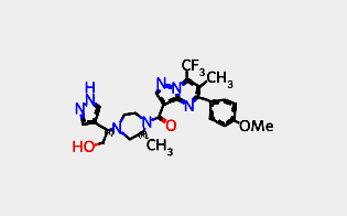 COc1ccc(-c2nc3c(C(=O)N4CCN([C@@H](CO)c5cn[nH]c5)C[C@H]4C)cnn3c(C(F)(F)F)c2C)cc1